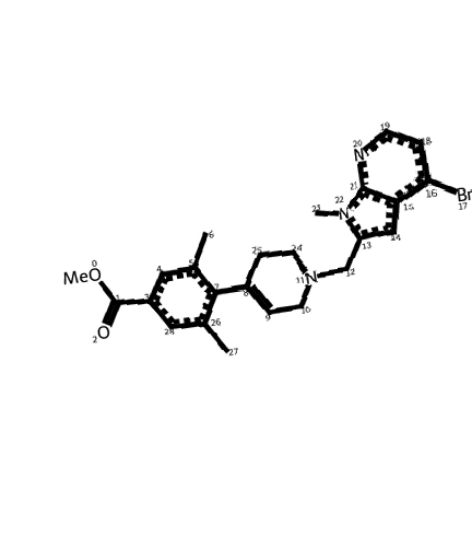 COC(=O)c1cc(C)c(C2=CCN(Cc3cc4c(Br)ccnc4n3C)CC2)c(C)c1